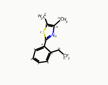 [CH2]c1sc(-c2ccccc2CC(F)(F)F)nc1C